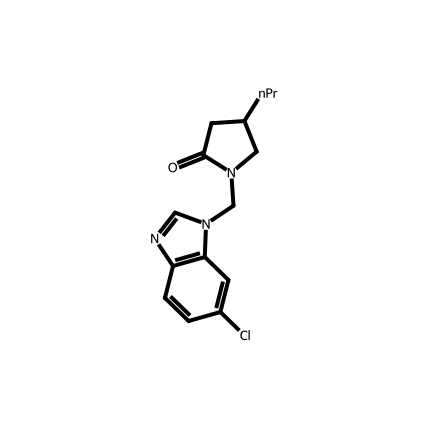 CCCC1CC(=O)N(Cn2cnc3ccc(Cl)cc32)C1